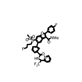 CNC(=O)c1c(-c2ccc(F)cc2)oc2cc(N(CCCF)S(C)(=O)=O)c(-c3cccc(C(=O)NC(c4ccccn4)C(F)(F)F)c3)cc12